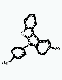 Brc1ccc(-n2c3ccc(Br)cc3c3c4ccccc4oc32)cc1